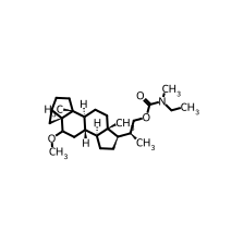 CCN(C)C(=O)OC[C@@H](C)[C@H]1CC[C@H]2[C@@H]3CC(OC)[C@]45CC4CC[C@]5(C)[C@H]3CC[C@]12C